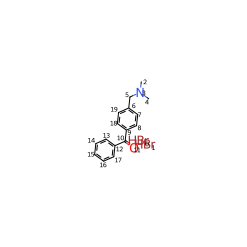 Br.Br.CN(C)Cc1ccc(C(=O)c2ccccc2)cc1